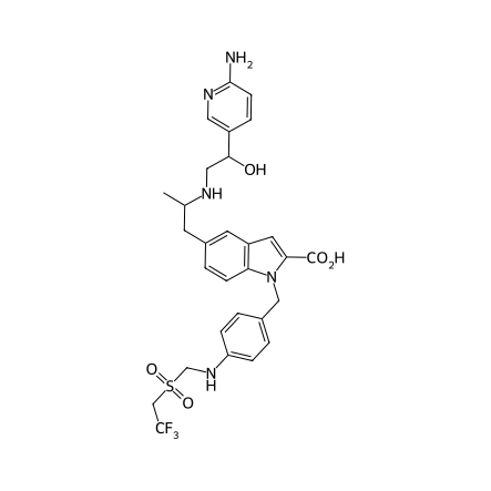 CC(Cc1ccc2c(c1)cc(C(=O)O)n2Cc1ccc(NCS(=O)(=O)CC(F)(F)F)cc1)NCC(O)c1ccc(N)nc1